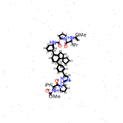 C=C(N[C@H](C(=O)N1CCC[C@H]1C(=O)Nc1cccc(-c2ccc(-c3ccc(-c4cnc([C@@H]5CCCN5C(=O)[C@@H](NC(=O)OC)C(C)C)[nH]4)cc3)c3c2CCC32CCCC2)c1)C(C)C)OC